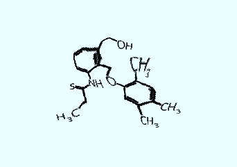 CCC(=S)Nc1cccc(CO)c1COc1cc(C)c(C)cc1C